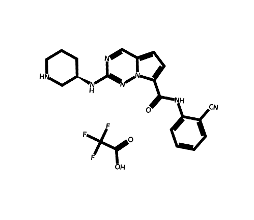 N#Cc1ccccc1NC(=O)c1ccc2cnc(N[C@@H]3CCCNC3)nn12.O=C(O)C(F)(F)F